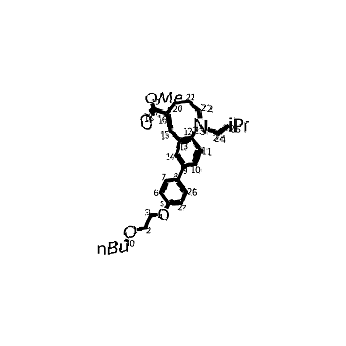 CCCCOCCOc1ccc(-c2ccc3c(c2)C=C(C(=O)OC)CCCN3CC(C)C)cc1